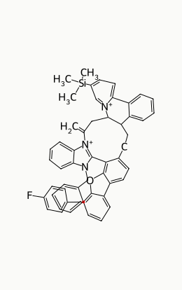 C=C1CC2C(CCc3ccc4c(oc5c(-c6ccc(F)cc6)cccc54)c3-c3n(Cc4ccccc4)c4ccccc4[n+]31)c1ccccc1-c1ccc([Si](C)(C)C)c[n+]12